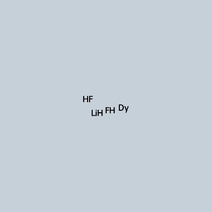 F.F.[Dy].[LiH]